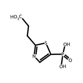 O=C(O)CCc1ncc(P(=O)(O)O)s1